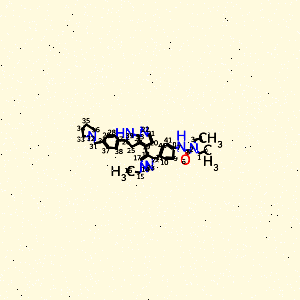 CCN(CC)C(=O)Nc1ccc(-c2nn(CC)cc2-c2ccnc3c2CC(c2ccc(CN4CCCC4)cc2)N3)cc1